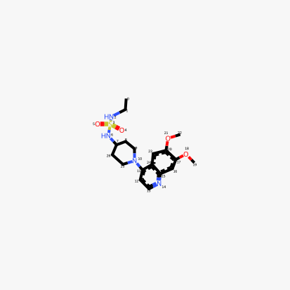 CCNS(=O)(=O)NC1CCN(c2ccnc3cc(OC)c(OC)cc23)CC1